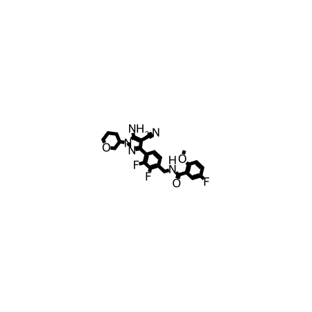 COc1ccc(F)cc1C(=O)NCc1ccc(-c2nn(C3CCCOC3)c(N)c2C#N)c(F)c1F